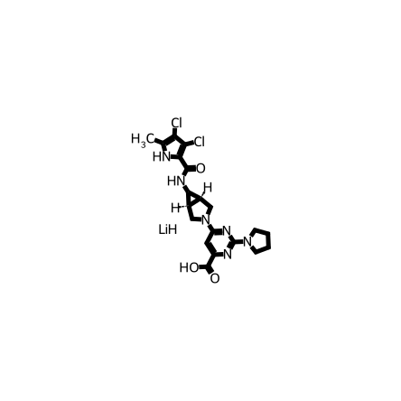 Cc1[nH]c(C(=O)NC2[C@H]3CN(c4cc(C(=O)O)nc(N5CCCC5)n4)C[C@@H]23)c(Cl)c1Cl.[LiH]